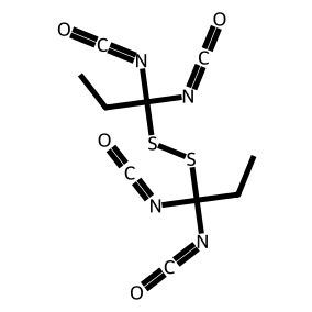 CCC(N=C=O)(N=C=O)SSC(CC)(N=C=O)N=C=O